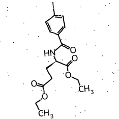 CCOC(=O)CC[C@@H](NC(=O)c1ccc(I)cc1)C(=O)OCC